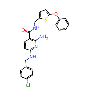 Nc1nc(NCc2ccc(Cl)cc2)ccc1C(=O)NCc1ccc(Oc2ccccc2)s1